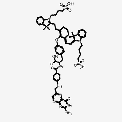 CC1(C)C(CCC2=C(Oc3ccc(CC(NC(=O)c4ccc(NCc5cnc6nc(N)[nH]c(=O)c6n5)cc4)C(=O)O)cc3)/C(=C/C=C3/N(CCCCS(=O)(=O)O)c4ccccc4C3(C)C)CCC2)=[N+](CCCCS(=O)(=O)O)c2ccccc21